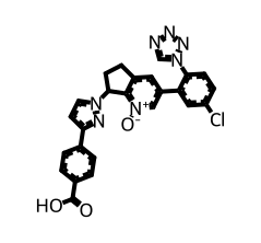 O=C(O)c1ccc(-c2ccn(C3CCc4cc(-c5cc(Cl)ccc5-n5cnnn5)c[n+]([O-])c43)n2)cc1